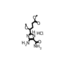 COC(=O)CCC(OC)c1nc(N)c(C(N)=O)[nH]1.Cl